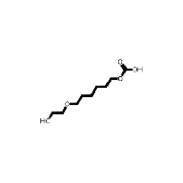 O=C(O)OCCCCCCOCCO